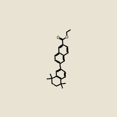 CCOC(=O)c1ccc2cc(-c3ccc4c(c3)C(C)(C)CCC4(C)C)ccc2c1